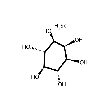 O[C@H]1[C@H](O)[C@@H](O)[C@H](O)[C@@H](O)[C@H]1O.[SeH2]